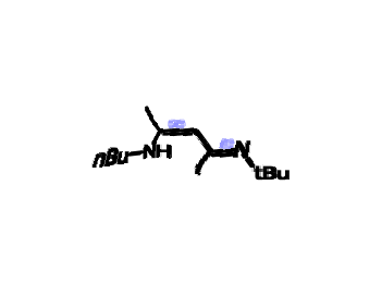 CCCCN/C(C)=C\C(C)=N\C(C)(C)C